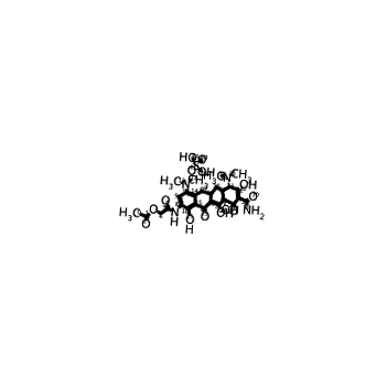 CC(=O)OCC(=O)Nc1cc(N(C)C)c2c(c1O)C(=O)C1=C(O)[C@]3(O)C(=O)C(C(N)=O)=C(O)[C@@H](N(C)C)C3CC1C2.O=S(=O)(O)O